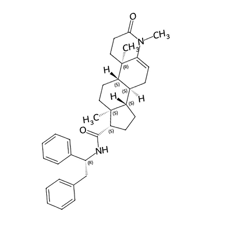 CN1C(=O)CC[C@@]2(C)C1=CC[C@H]1[C@@H]3CC[C@H](C(=O)N[C@H](Cc4ccccc4)c4ccccc4)[C@@]3(C)CC[C@@H]12